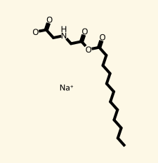 CCCCCCCCCCCC(=O)OC(=O)CNCC(=O)[O-].[Na+]